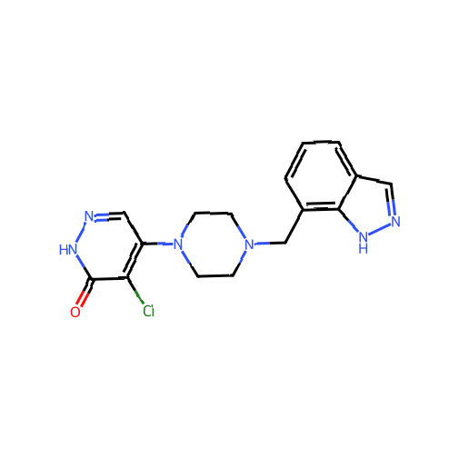 O=c1[nH]ncc(N2CCN(Cc3cccc4cn[nH]c34)CC2)c1Cl